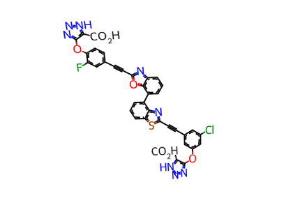 O=C(O)c1[nH]nnc1Oc1cc(Cl)cc(C#Cc2nc3c(-c4cccc5nc(C#Cc6ccc(Oc7nn[nH]c7C(=O)O)c(F)c6)oc45)cccc3s2)c1